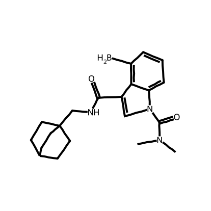 Bc1cccc2c1c(C(=O)NCC13CCC(CC1)CC3)cn2C(=O)N(C)C